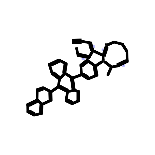 C#C/C=C(\C=C/C)C1=N/CCC/C=C\C(C)N\1c1ccc(-c2c3ccccc3c(-c3ccc4ccccc4c3)c3ccccc23)cc1